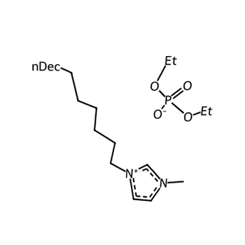 CCCCCCCCCCCCCCCC[n+]1ccn(C)c1.CCOP(=O)([O-])OCC